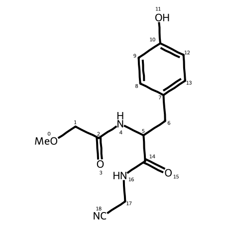 COCC(=O)NC(Cc1ccc(O)cc1)C(=O)NCC#N